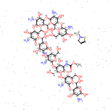 CN1CC=CS1.COC(=O)N[C@H]1[C@H](O[C@H]2[C@H](O)[C@@H](N)[C@H](O[C@H]3[C@H](O)[C@@H](N)[C@H](O)O[C@@H]3CO)O[C@@H]2CO)O[C@H](CO)[C@@H](O[C@@H]2O[C@H](CO)[C@@H](O[C@@H]3O[C@H](CO)[C@@H](O[C@@H]4O[C@H](CO)[C@@H](O[C@@H]5O[C@H](CO)[C@@H](O[C@@H]6O[C@H](CO)[C@@H](O[C@@H]7O[C@H](CO)[C@@H](O)[C@H](O)[C@H]7N)[C@H](O)[C@H]6N)[C@H](O)[C@H]5N)[C@H](O)[C@H]4N)[C@H](O)[C@H]3N)[C@H](O)[C@H]2N)[C@@H]1O